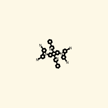 N#Cc1ccc2c(c1)c1cc(C#N)ccc1n2-c1ccc2c(-c3ccc(-c4ccccc4)cn3)c3cc(-n4c5ccc(C#N)cc5c5cc(C#N)ccc54)ccc3c(-c3ccc(-c4ccccc4)cn3)c2c1